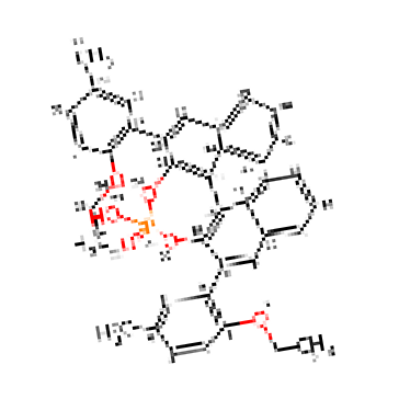 CCOc1ccc(C)cc1-c1cc2ccccc2c2c1OP(=O)(O)Oc1c(-c3cc(C)ccc3OCC)cc3ccccc3c1-2